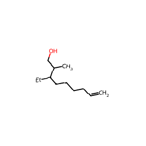 C=CCCCCC(CC)C(C)CO